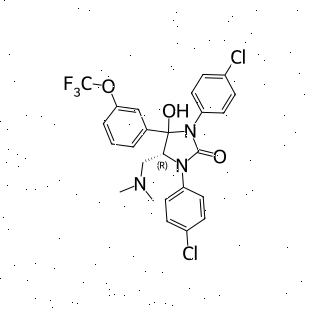 CN(C)C[C@H]1N(c2ccc(Cl)cc2)C(=O)N(c2ccc(Cl)cc2)C1(O)c1cccc(OC(F)(F)F)c1